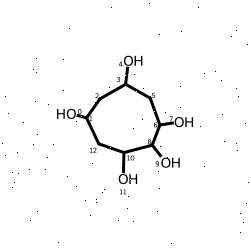 OC1CC(O)CC(O)C(O)C(O)C1